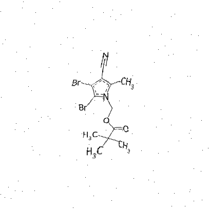 Cc1c(C#N)c(Br)c(Br)n1COC(=O)C(C)(C)C